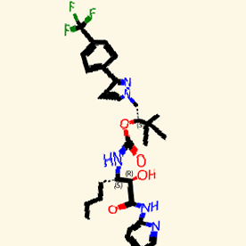 CCCC[C@H](NC(=O)O[C@H](Cn1ccc(-c2ccc(C(F)(F)F)cc2)n1)C(C)(C)C)[C@@H](O)C(=O)Nc1ccccn1